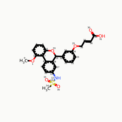 COc1cccc2c1-c1ccc(NS(C)(=O)=O)cc1C(c1cccc(OCC=CC(=O)O)c1)O2